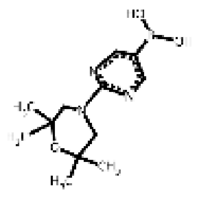 CC1(C)CN(c2ncc(B(O)O)cn2)CC(C)(C)O1